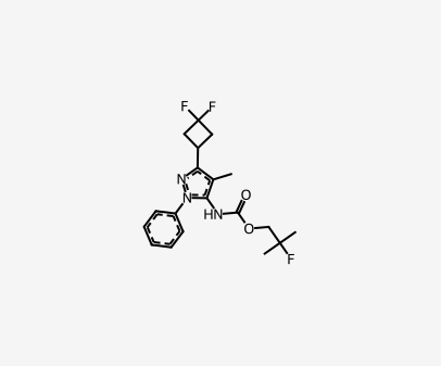 Cc1c(C2CC(F)(F)C2)nn(-c2ccccc2)c1NC(=O)OCC(C)(C)F